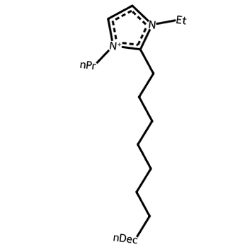 CCCCCCCCCCCCCCCCCc1n(CC)cc[n+]1CCC